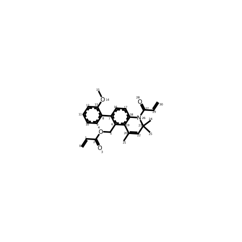 C=CC(=O)OCc1c(-c2ccccc2OC)ccc2c1C(C)=CC(C)(C)N2C(=O)C=C